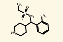 Cc1ccccc1C(NS(=O)(=O)CC(F)(F)F)C1CCNCC1